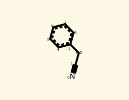 N#C[C]c1ccccc1